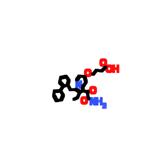 CCc1c(C(=O)C(N)=O)c2cc(OCCCC(=O)O)ccn2c1Cc1ccccc1-c1ccccc1